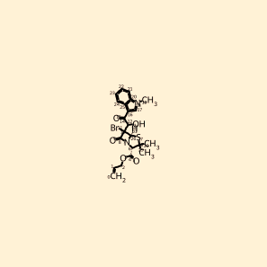 C=CCOC(=O)[C@@H]1N2C(=O)C(Br)(C(O)C(=O)c3cn(C)c4ccccc34)[C@H]2SC1(C)C